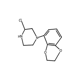 ClC1CN(c2cccc3c2OCCO3)CCN1